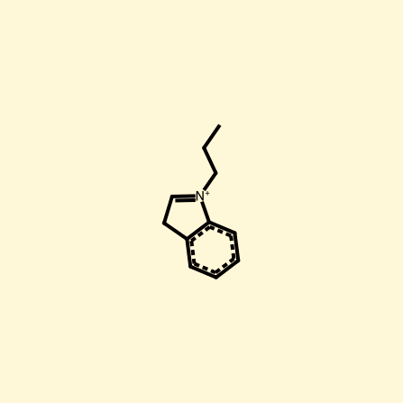 CCC[N+]1=CCc2ccccc21